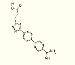 CC(C)OC(=O)CCc1nnc(-c2ccc(-c3ccc(C(=N)N)cc3)cc2)s1